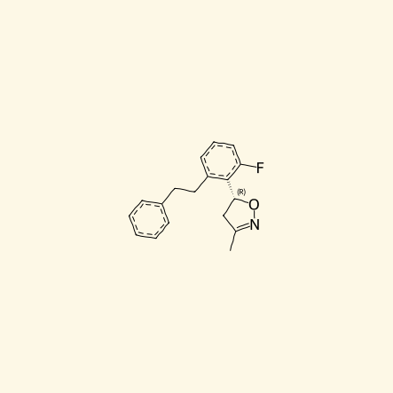 CC1=NO[C@@H](c2c(F)cccc2CCc2ccccc2)C1